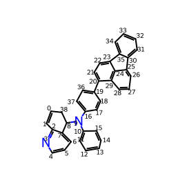 C1=Cc2ncccc2C(N(c2ccccc2)c2ccc(-c3ccc4c5c(cccc35)-c3ccccc3-4)cc2)C1